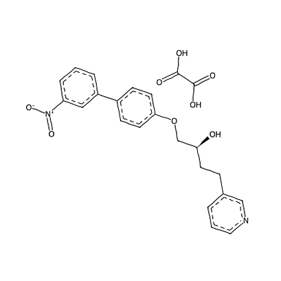 O=C(O)C(=O)O.O=[N+]([O-])c1cccc(-c2ccc(OC[C@@H](O)CCc3cccnc3)cc2)c1